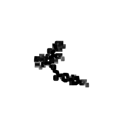 C=NNC(=O)/C(=C(\C)N[C@H](COCCC(=O)N1CCN(c2ncc(C(F)(F)F)cn2)CC1)[C@@H](C)OC)C(F)(F)F